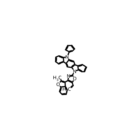 C=Cc1oc(-n2c3ccccc3c3cc4c(cc32)c2ccccc2n4-c2ccccc2)nc1-c1c(C)oc2ccccc12